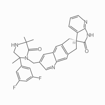 CC1(C)NCC(C)(c2cc(F)cc(F)c2)N(Cc2cnc3cc4c(cc3c2)C[C@@]2(C4)C(=O)Nc3ncccc32)C1=O